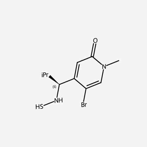 CC(C)[C@H](NS)c1cc(=O)n(C)cc1Br